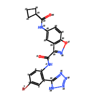 O=C(Nc1ccc(Br)cc1-c1nnn[nH]1)c1noc2ccc(NC(=O)C3CCC3)cc12